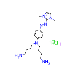 Cl.Cl.Cn1cc[n+](C)c1/N=N/c1ccc(N(CCCCN)CCCCN)cc1.[I-]